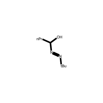 CCCC(O)N=NC(C)(C)C